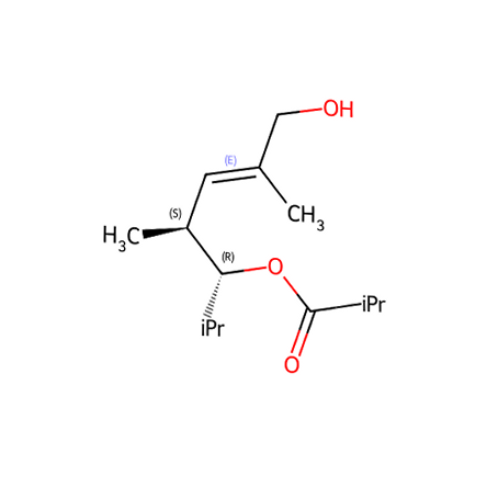 C/C(=C\[C@H](C)[C@H](OC(=O)C(C)C)C(C)C)CO